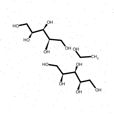 CCO.OC[C@@H](O)[C@H](O)[C@@H](O)CO.OC[C@@H](O)[C@H](O)[C@@H](O)CO